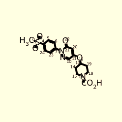 CS(=O)(=O)c1ccc(-n2ncc(OC3CCN(C(=O)O)CC3)cc2=O)cc1